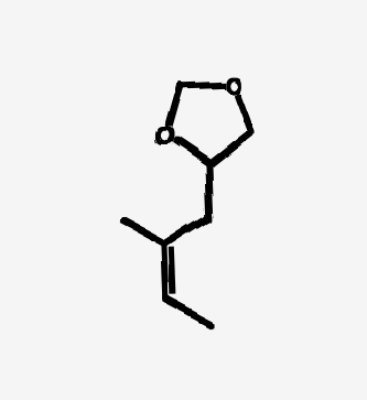 C/C=C(/C)CC1COCO1